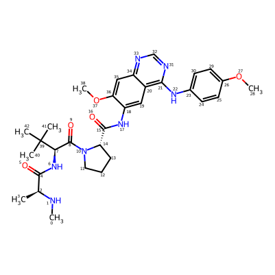 CN[C@@H](C)C(=O)N[C@H](C(=O)N1CCC[C@H]1C(=O)Nc1cc2c(Nc3ccc(OC)cc3)ncnc2cc1OC)C(C)(C)C